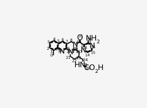 Cc1cccc2cc(CNC(=O)c3nccnc3N)c(N3CCC(CNC(=O)O)CC3)nc12